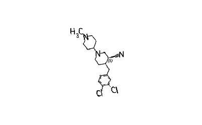 CN1CCC(N2CCC(Cc3ccc(Cl)c(Cl)c3)[C@H](C#N)C2)CC1